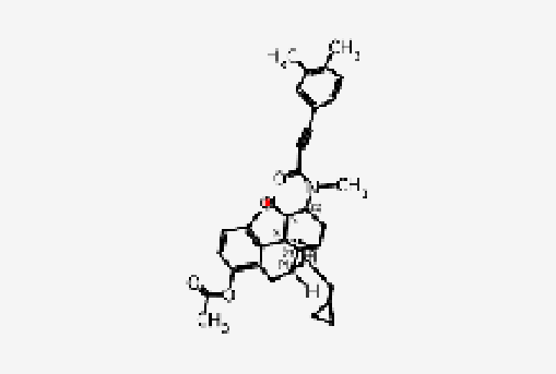 CC(=O)Oc1ccc2c3c1C[C@@H]1[C@@H]4CC[C@H](N(C)C(=O)C#Cc5ccc(C)c(C)c5)[C@H](O2)[C@]34CCN1CC1CC1